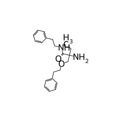 CCC(N)(COCCc1ccccc1)C(=O)NCCc1ccccc1